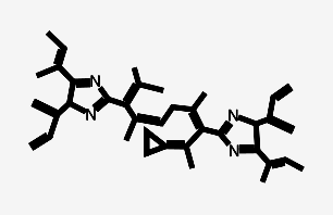 C=CC(=C)C1N=C(C(=C(C)C)/C(C)=C\C/C(C)=C(/C2=NC(C(=C)C=C)C(/C(C)=C/C)=N2)C(C)=C2CC2)N=C1/C(C)=C/C